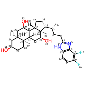 C[C@H](CCc1nc2c(F)c(F)ccc2[nH]1)[C@H]1CC[C@H]2[C@@H]3[C@H](O)C[C@@H]4C[C@H](O)CC[C@]4(C)[C@H]3C[C@H](O)[C@]12C